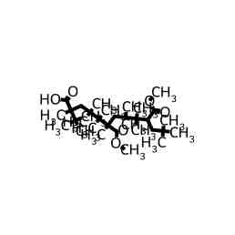 COC(=O)C(CC(C)(C)C)C(C)(C)C(C)(C)CC(C)(C(=O)OC)C(C)(C)C(C)(C)CC(C)(C(=O)O)C(C)(C)C